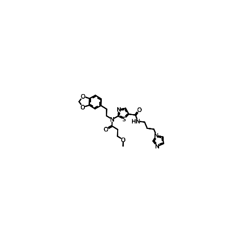 COCCC(=O)N(CCc1ccc2c(c1)OCO2)c1ncc(C(=O)NCCCn2ccnc2)s1